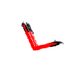 [Bi+3].[Bi+3].[Bi+3].[Bi+3].[Bi+3].[Bi+3].[Bi+3].[Bi+3].[Bi+3].[Bi+3].[Bi+3].[Bi+3].[Bi+3].[Bi+3].[Bi+3].[Bi+3].[Bi+3].[Bi+3].[Bi+3].[Bi+3].[Bi+3].[Bi+3].[Bi+3].[Bi+3].[Bi+3].[Bi+3].[Bi+3].[Bi+3].[Bi+3].[Bi+3].[Bi+3].[Bi+3].[Bi+3].[Bi+3].[Bi+3].[O-2].[O-2].[O-2].[O-2].[O-2].[O-2].[O-2].[O-2].[O-2].[O-2].[O-2].[O-2].[O-2].[O-2].[O-2].[O-2].[O-2].[O-2].[O-2].[O-2].[O-2].[O-2].[O-2].[O-2].[O-2].[O-2].[O-2].[O-2].[O-2].[O-2].[O-2].[O-2].[O-2].[O-2].[O-2].[O-2].[O-2].[O-2].[O-2].[O-2].[O-2].[O-2].[O-2].[O-2].[O-2].[O-2].[O-2].[O-2].[O-2].[O-2].[O-2].[O-2].[O-2].[O-2].[O-2].[O-2].[O-2].[O-2].[O-2].[O-2].[O-2].[O-2].[O-2].[O-2].[O-2].[O-2].[O-2].[O-2].[O-2].[O-2]